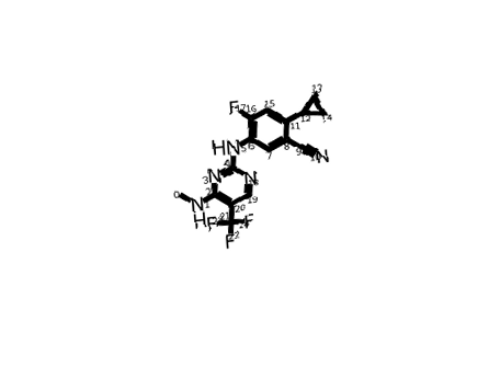 CNc1nc(Nc2cc(C#N)c(C3CC3)cc2F)ncc1C(F)(F)F